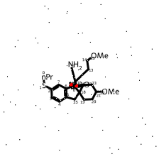 CCCSc1ccc2c(c1)C1(N=C(N)N(CCOC)C1=O)C1(CCC(OC)CC1)C2